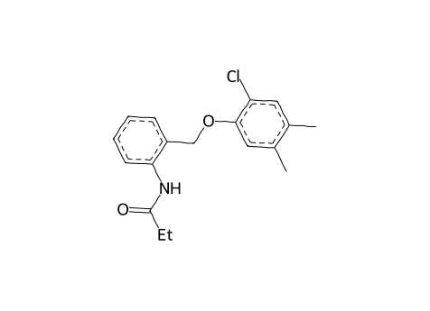 CCC(=O)Nc1ccccc1COc1cc(C)c(C)cc1Cl